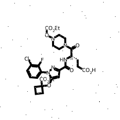 CCOC(=O)ON1CCN(C(=O)[C@H](CCC(=O)O)NC(=O)c2cc(OC3(C(=O)OCC)CCC3)n(-c3cccc(Cl)c3F)n2)CC1